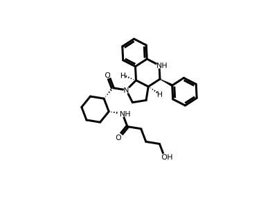 O=C(CCCO)N[C@@H]1CCCC[C@@H]1C(=O)N1CC[C@@H]2[C@H](c3ccccc3)Nc3ccccc3[C@@H]21